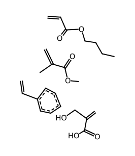 C=C(C)C(=O)OC.C=C(CO)C(=O)O.C=CC(=O)OCCCC.C=Cc1ccccc1